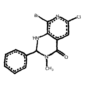 CN1C(=O)c2cc(Cl)nc(Br)c2NC1c1ccccc1